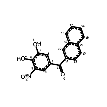 O=C(c1cc(O)c(O)c([N+](=O)[O-])c1)c1ccc2ccccc2c1